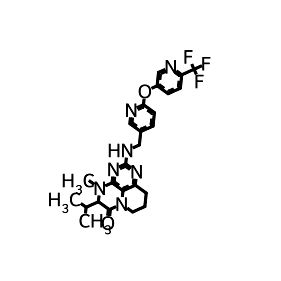 CC(C)C1C(=O)N2CCCc3nc(NCc4ccc(Oc5ccc(C(F)(F)F)nc5)nc4)nc(c32)N1C